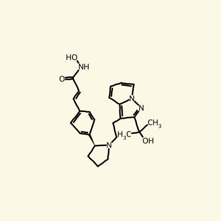 CC(C)(O)c1nn2ccccc2c1CCN1CCC[C@H]1c1ccc(C=CC(=O)NO)cc1